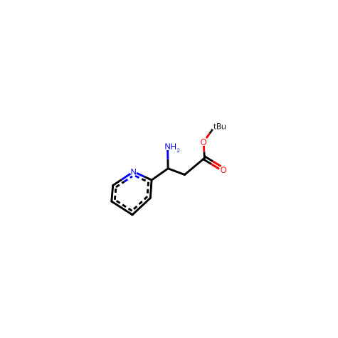 CC(C)(C)OC(=O)CC(N)c1ccccn1